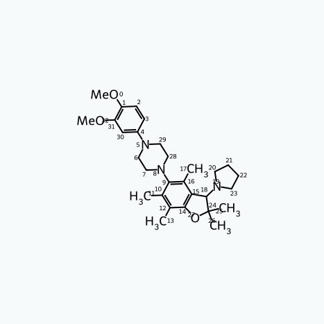 COc1ccc(N2CCN(c3c(C)c(C)c4c(c3C)C(N3CCCC3)C(C)(C)O4)CC2)cc1OC